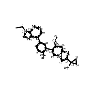 CCn1cnc2c(-c3ccc(F)c(-c4cn5cc(C6(F)CC6)nc5cc4OC)c3)cnnc21